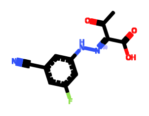 CC(=O)/C(=N\Nc1cc(F)cc(C#N)c1)C(=O)O